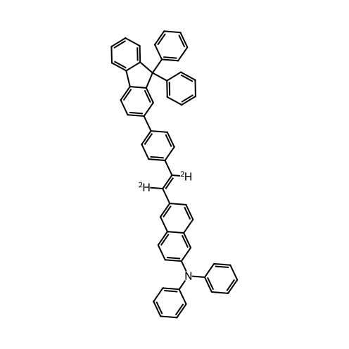 [2H]/C(=C(/[2H])c1ccc2cc(N(c3ccccc3)c3ccccc3)ccc2c1)c1ccc(-c2ccc3c(c2)C(c2ccccc2)(c2ccccc2)c2ccccc2-3)cc1